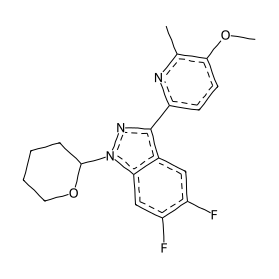 COc1ccc(-c2nn(C3CCCCO3)c3cc(F)c(F)cc23)nc1C